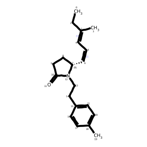 CC/C(C)=C/C=C\[C@H]1CCC(=O)N1CCc1ccc(C)cc1